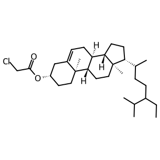 CCC(CCC(C)[C@H]1CC[C@H]2[C@@H]3CC=C4C[C@@H](OC(=O)CCl)CC[C@]4(C)[C@H]3CC[C@]12C)C(C)C